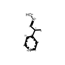 CC(C=NO)c1ccncc1